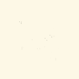 CCCCOC(=O)C1C(c2cccnc2)CCNN1C(=O)C(=O)C(C)(C)CC